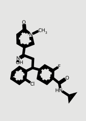 Cn1cc(/C(CC(c2ccc(C(=O)NC3CC3)c(F)c2)c2ccccc2Cl)=N/O)ccc1=O